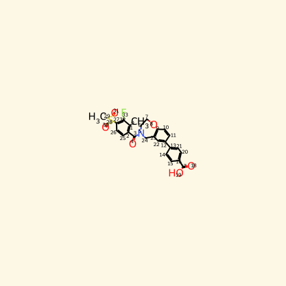 Cc1c(C(=O)N2CCOc3ccc(-c4ccc(C(=O)O)cc4)cc3C2)ccc(S(C)(=O)=O)c1F